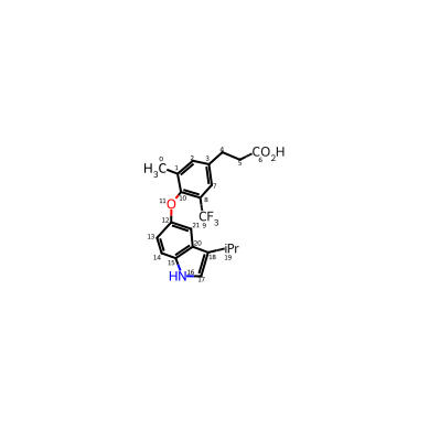 Cc1cc(CCC(=O)O)cc(C(F)(F)F)c1Oc1ccc2[nH]cc(C(C)C)c2c1